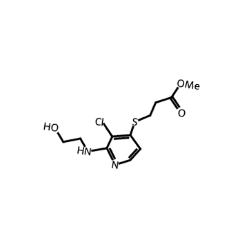 COC(=O)CCSc1ccnc(NCCO)c1Cl